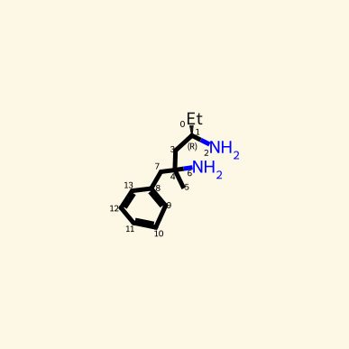 CC[C@@H](N)CC(C)(N)Cc1ccccc1